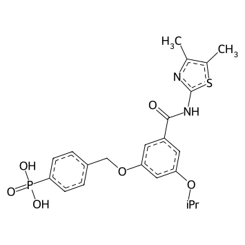 Cc1nc(NC(=O)c2cc(OCc3ccc(P(=O)(O)O)cc3)cc(OC(C)C)c2)sc1C